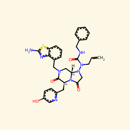 C=CCN(C(=O)NCc1ccccc1)N1CC(=O)N2[C@@H](Cc3ccc(O)cn3)C(=O)N(Cc3cccc4sc(N)nc34)C[C@@H]21